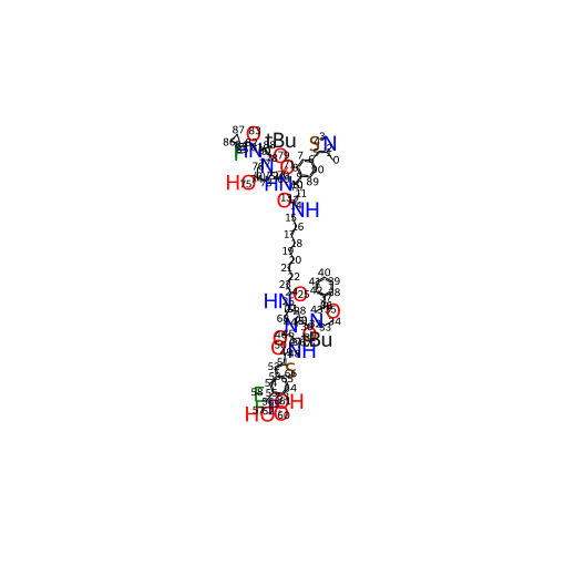 Cc1ncsc1-c1ccc([C@H](CC(=O)NCCCCCCCCCC(=O)N[C@H]2C[C@@H](C(=O)N3CCO[C@H](c4ccccc4)C3)N(C(=O)[C@@H](NC(=O)c3cc4cc(C(F)(F)P(=O)(O)O)ccc4s3)C(C)(C)C)C2)NC(=O)[C@@H]2C[C@@H](O)CN2C(=O)[C@@H](NC(=O)C2(F)CC2)C(C)(C)C)cc1